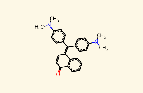 CN(C)c1ccc(C(=C2C=CC(=O)c3ccccc32)c2ccc(N(C)C)cc2)cc1